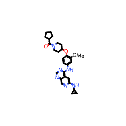 COc1cc(Nc2ncnc3cnc(NC4CC4)cc23)ccc1OC1CCN(C(=O)C2CCCC2)CC1